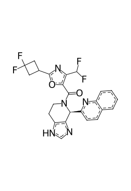 O=C(c1oc(C2CC(F)(F)C2)nc1C(F)F)N1CCc2[nH]cnc2[C@@H]1c1ccc2ccccc2n1